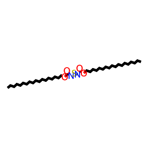 CCCCCCCCCCCCCCCCCCOC(=O)N=S=NC(=O)OCCCCCCCCCCCCCCCCCC